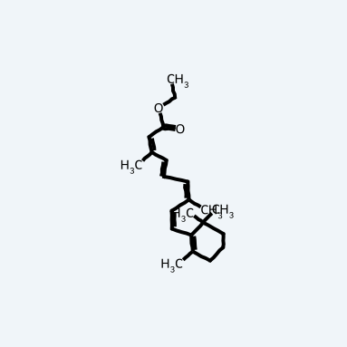 CCOC(=O)\C=C(C)/C=C/C=C(C)\C=C/C1=C(C)CCCC1(C)C